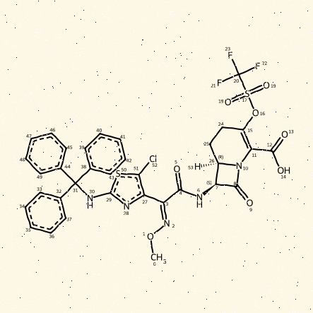 CON=C(C(=O)N[C@@H]1C(=O)N2C(C(=O)O)=C(OS(=O)(=O)C(F)(F)F)CC[C@H]12)c1nc(NC(c2ccccc2)(c2ccccc2)c2ccccc2)sc1Cl